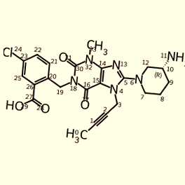 CC#CCn1c(N2CCC[C@@H](N)C2)nc2c1c(=O)n(Cc1ccc(Cl)cc1C(=O)O)c(=O)n2C